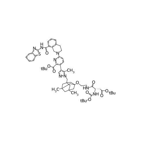 Cc1c(-c2ccc(N3CCc4cccc(C(=O)Nc5nc6ccccc6s5)c4C3)nc2C(=O)OC(C)(C)C)cnn1CC12CC3(C)CC(C)(C1)CC(OCCNC(=O)[C@H](CC(=O)OC(C)(C)C)NC(=O)OC(C)(C)C)(C3)C2